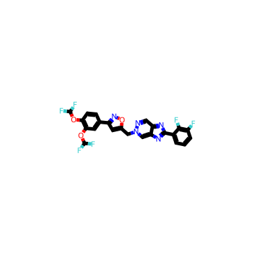 Fc1cccc(-c2nc3cnn(Cc4cc(-c5ccc(OC(F)F)c(OC(F)F)c5)no4)cc-3n2)c1F